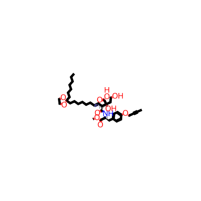 CC#CCOc1ccc(C[C@H](NC(=O)[C@@H](/C=C/CCCCCCC2(CCCCCCC)OCCO2)[C@@](O)(CCO)C(=O)O)C(=O)OC)cc1